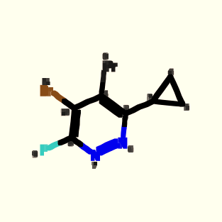 CC(C)c1c(C2CC2)nnc(F)c1Br